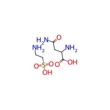 NC(=O)CC(N)C(=O)O.NCCS(=O)(=O)O